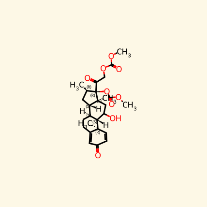 COC(=O)OCC(=O)[C@@]1(OC(=O)OC)[C@H](C)C[C@H]2[C@@H]3CCC4=CC(=O)C=C[C@]4(C)[C@H]3C(O)C[C@@]21C